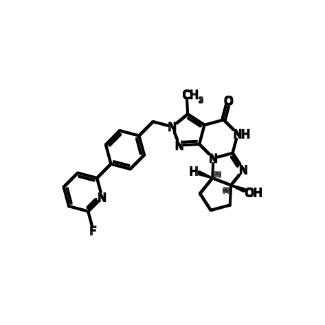 Cc1c2c(nn1Cc1ccc(-c3cccc(F)n3)cc1)N1C(=N[C@]3(O)CCC[C@H]13)NC2=O